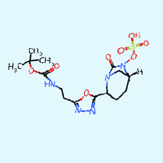 CC(C)(C)OC(=O)NCCc1nnc([C@@H]2CC[C@@H]3CN2C(=O)N3OS(=O)(=O)O)o1